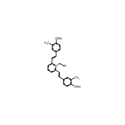 COc1ccc(/C=C/c2cccc(/C=C/c3ccc(OC)c(C)c3)[n+]2CC(C)C)cc1C